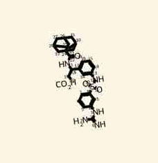 N=C(N)Nc1cccc(S(=O)(=O)Nc2cccc(C(CC(=O)O)NC(=O)C34CC5CC(CC(C5)C3)C4)c2)c1